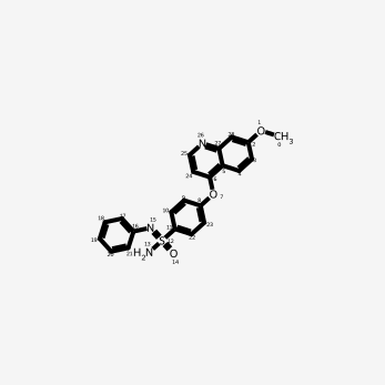 COc1ccc2c(Oc3ccc(S(N)(=O)=Nc4ccccc4)cc3)ccnc2c1